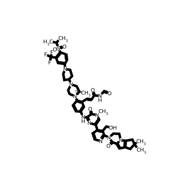 CC(C)S(=O)(=O)c1ccc(N2CCC(N3CCN(c4ccc(Nc5nc(-c6ccnc(N7CCn8c(cc9c8CC(C)(C)C9)C7=O)c6CO)cn(C)c5=O)cc4C=CC(=O)NC=O)[C@@H](C)C3)CC2)cc1C(F)(F)F